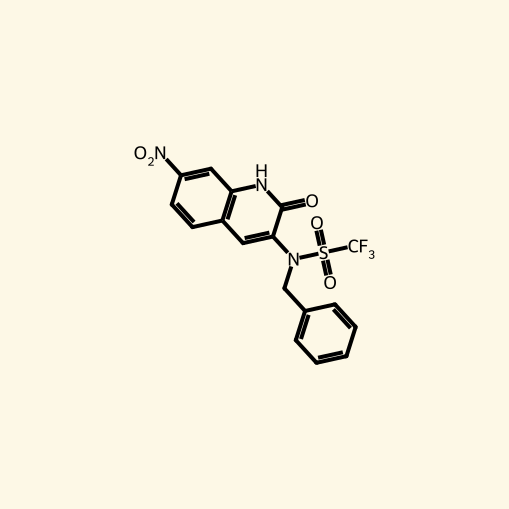 O=c1[nH]c2cc([N+](=O)[O-])ccc2cc1N(Cc1ccccc1)S(=O)(=O)C(F)(F)F